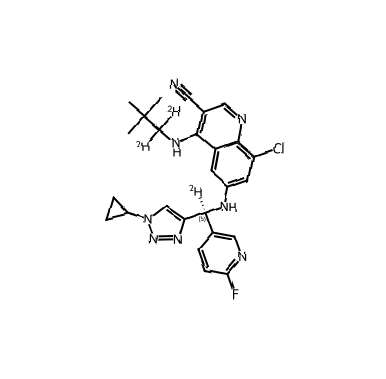 [2H]C([2H])(Nc1c(C#N)cnc2c(Cl)cc(N[C@@]([2H])(c3ccc(F)nc3)c3cn(C4CC4)nn3)cc12)C(C)(C)C